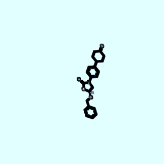 O=C1CCC(c2ccc(N3C[C@@H](OCc4ccccc4)OC3=O)cc2)CC1